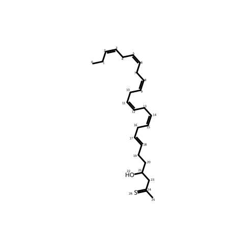 CC/C=C\C/C=C\C/C=C\C/C=C\C/C=C\C/C=C/CCC(O)CC(C)=S